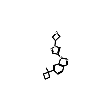 CC1(c2ccc3cnn(-c4cnn(C5COC5)c4)c3c2)CCC1